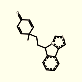 O=C1C=CC(F)(CCC2c3ccccc3-c3cncn32)C=C1